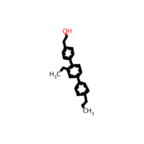 CCCc1ccc(-c2ccc(-c3ccc(CCO)cc3)c(CC)c2)cc1